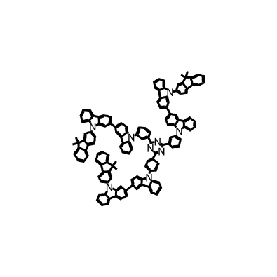 CC1(C)c2ccccc2-c2ccc(-n3c4ccccc4c4ccc(-c5ccc6c(c5)c5ccccc5n6-c5ccc(-c6nc(-c7cccc(-n8c9ccccc9c9cc(-c%10ccc%11c%12ccccc%12n(-c%12ccc%13c(c%12)C(C)(C)c%12ccccc%12-%13)c%11c%10)ccc98)c7)nc(-c7cccc(-n8c9ccccc9c9cc(-c%10ccc%11c%12ccccc%12n(-c%12ccc%13c(c%12)C(C)(C)c%12ccccc%12-%13)c%11c%10)ccc98)c7)n6)cc5)cc43)cc21